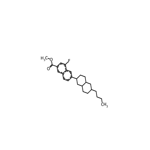 CCCCC1CCC2CC(c3ccc4cc(C(=O)OC)cc(F)c4c3)CCC2C1